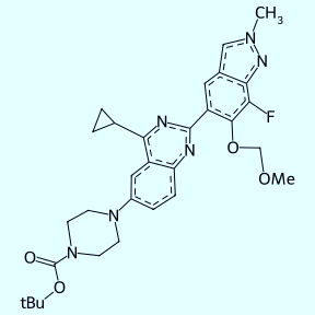 COCOc1c(-c2nc(C3CC3)c3cc(N4CCN(C(=O)OC(C)(C)C)CC4)ccc3n2)cc2cn(C)nc2c1F